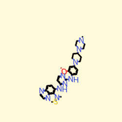 COc1cc(N2CCC(N3CCN(C)CC3)CC2)ccc1Nc1nccc(Nc2ccc3nccnc3c2N(C)SC)n1